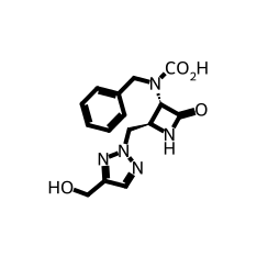 O=C1N[C@@H](Cn2ncc(CO)n2)[C@@H]1N(Cc1ccccc1)C(=O)O